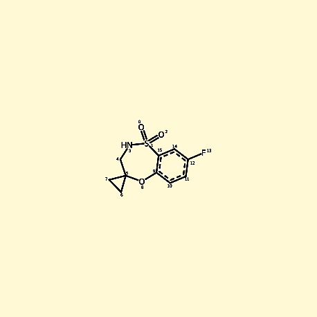 O=S1(=O)NCC2(CC2)Oc2ccc(F)cc21